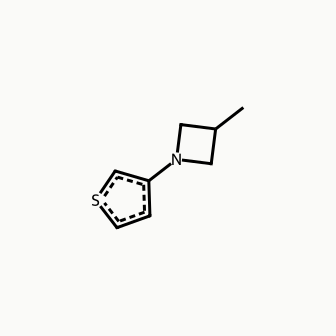 CC1CN(c2ccsc2)C1